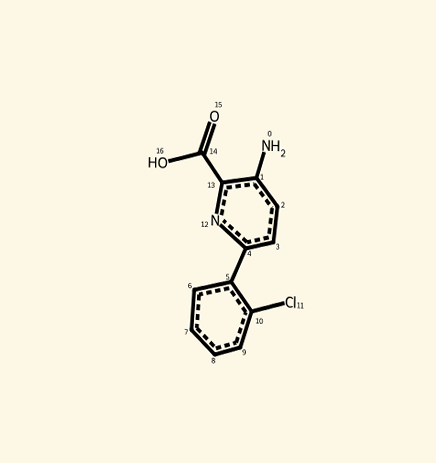 Nc1ccc(-c2ccccc2Cl)nc1C(=O)O